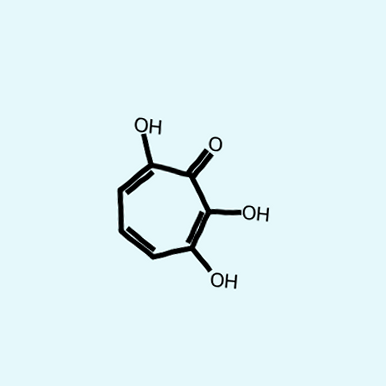 O=c1c(O)cccc(O)c1O